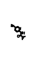 CN(C)C(=O)Nc1ccc(Br)cn1